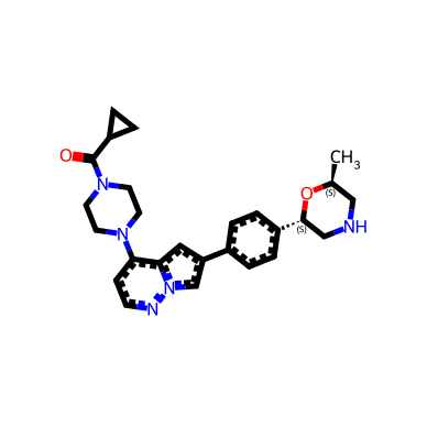 C[C@H]1CNC[C@H](c2ccc(-c3cc4c(N5CCN(C(=O)C6CC6)CC5)ccnn4c3)cc2)O1